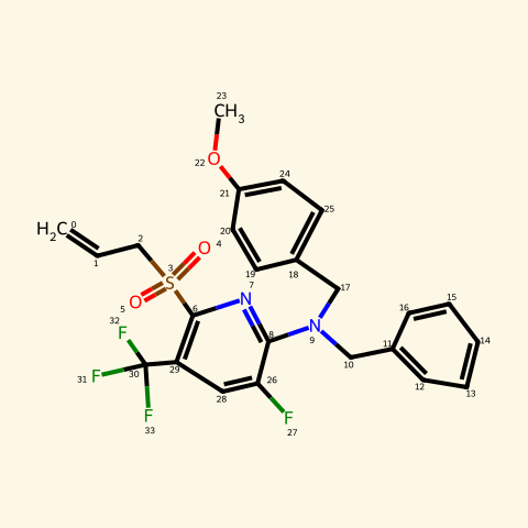 C=CCS(=O)(=O)c1nc(N(Cc2ccccc2)Cc2ccc(OC)cc2)c(F)cc1C(F)(F)F